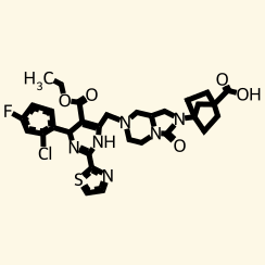 CCOC(=O)C1=C(CN2CCN3C(=O)N(C45CCC(C(=O)O)(CC4)C5)CC3C2)NC(c2nccs2)=NC1c1ccc(F)cc1Cl